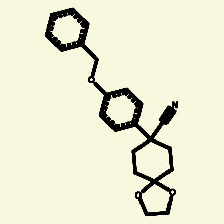 N#CC1(c2ccc(OCc3ccccc3)cc2)CCC2(CC1)OCCO2